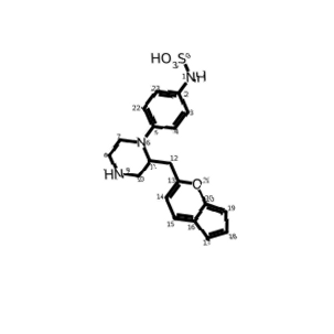 O=S(=O)(O)Nc1ccc(N2CCNCC2Cc2ccc3cccc-3o2)cc1